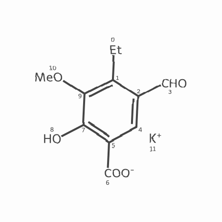 CCc1c(C=O)cc(C(=O)[O-])c(O)c1OC.[K+]